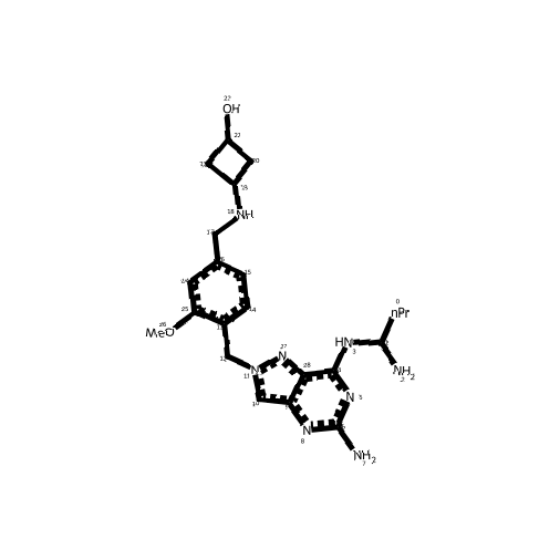 CCCC(N)Nc1nc(N)nc2cn(Cc3ccc(CNC4CC(O)C4)cc3OC)nc12